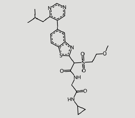 COCCS(=O)(=O)C(C(=O)NCC(=O)NC1CC1)c1nc2cc(-c3cncnc3CC(C)C)ccc2s1